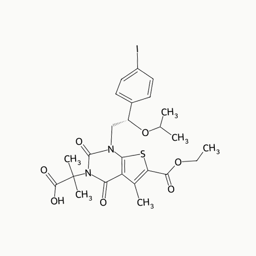 CCOC(=O)c1sc2c(c1C)c(=O)n(C(C)(C)C(=O)O)c(=O)n2C[C@@H](OC(C)C)c1ccc(I)cc1